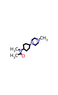 CC(=O)N(C)C1CCC(N2CCN(C)CC2)CC1